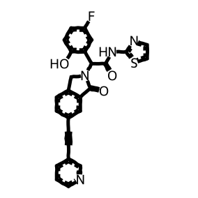 O=C(Nc1nccs1)C(c1cc(F)ccc1O)N1Cc2ccc(C#Cc3cccnc3)cc2C1=O